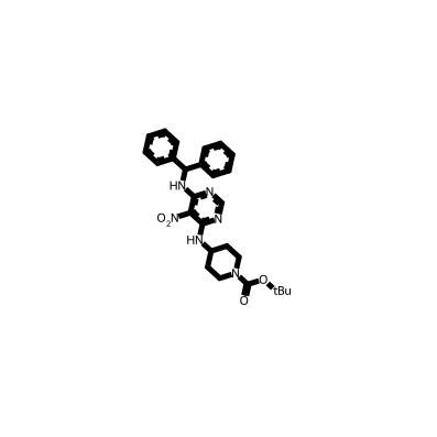 CC(C)(C)OC(=O)N1CCC(Nc2ncnc(NC(c3ccccc3)c3ccccc3)c2[N+](=O)[O-])CC1